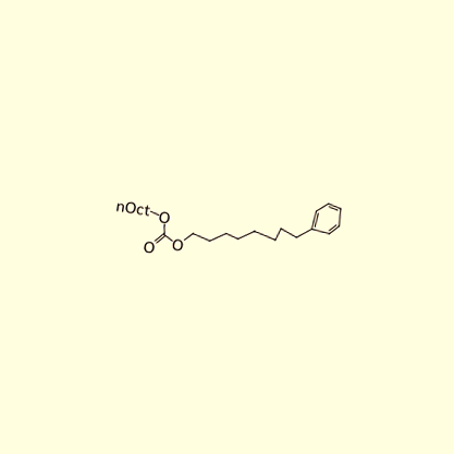 CCCCCCCCOC(=O)OCCCCCCCCc1ccccc1